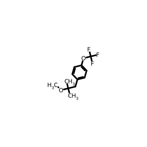 COC(C)(C)Cc1ccc(OC(F)(F)F)cc1